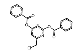 O=C(Oc1cc(CCl)nc(OC(=O)c2ccccc2)n1)c1ccccc1